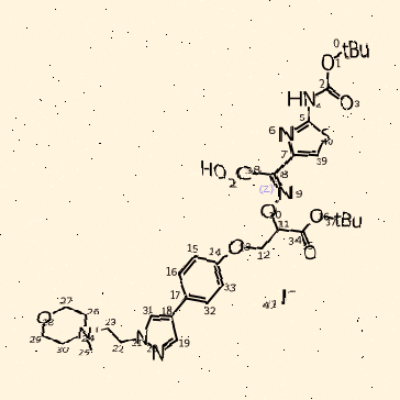 CC(C)(C)OC(=O)Nc1nc(/C(=N/OC(COc2ccc(-c3cnn(CC[N+]4(C)CCOCC4)c3)cc2)C(=O)OC(C)(C)C)C(=O)O)cs1.[I-]